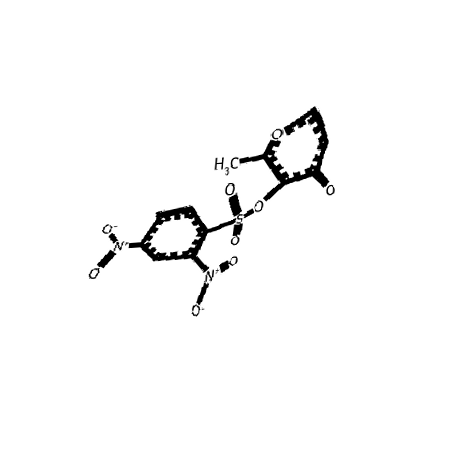 Cc1occc(=O)c1OS(=O)(=O)c1ccc([N+](=O)[O-])cc1[N+](=O)[O-]